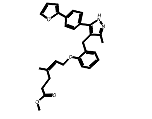 COC(=O)CCC(C)=CCOc1ccccc1Cc1c(C)n[nH]c1-c1ccc(-c2ccco2)cc1